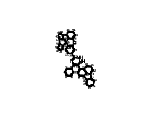 c1ccc(C2=C(c3ccc4c5c(cccc35)-c3ccccc3-4)NNC(c3ccc4c(c3)Oc3ccccc3C43c4ccccc4-c4ccccc43)=N2)cc1